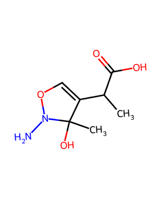 CC(C(=O)O)C1=CON(N)C1(C)O